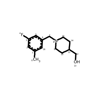 Cc1cc(F)cc(CN2CCC(CO)CC2)c1